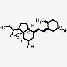 C=C1CC[C@@H](O)C/C1=C/C=C1\C[C@@H](O)C[C@]2(C)[C@@H]([C@@H](O)CO)CC[C@@H]12